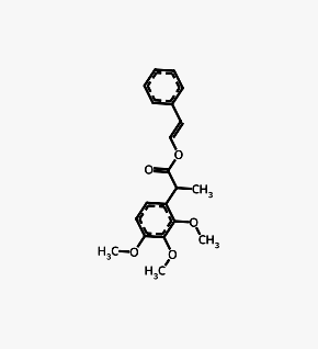 COc1ccc(C(C)C(=O)OC=Cc2ccccc2)c(OC)c1OC